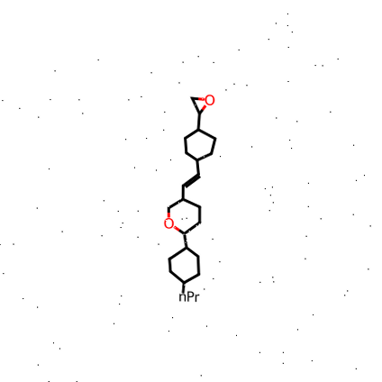 CCCC1CCC(C2CCC(/C=C/C3CCC(C4CO4)CC3)CO2)CC1